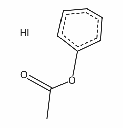 CC(=O)Oc1ccccc1.I